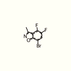 Cc1noc2c(Br)cc(F)c(F)c12